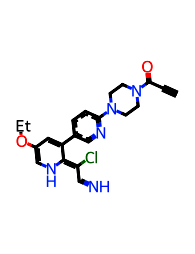 C#CC(=O)N1CCN(c2ccc(C3=CC(OCC)=CN/C3=C(/Cl)C=N)cn2)CC1